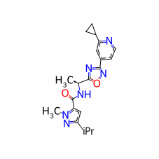 CC(C)c1cc(C(=O)N[C@@H](C)c2nc(-c3ccnc(C4CC4)c3)no2)n(C)n1